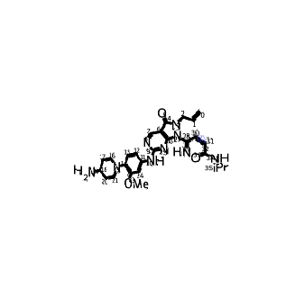 C=CCn1c(=O)c2cnc(Nc3ccc(N4CCC(N)CC4)c(OC)c3)nc2n1C(=N)/C=C\C(=O)NC(C)C